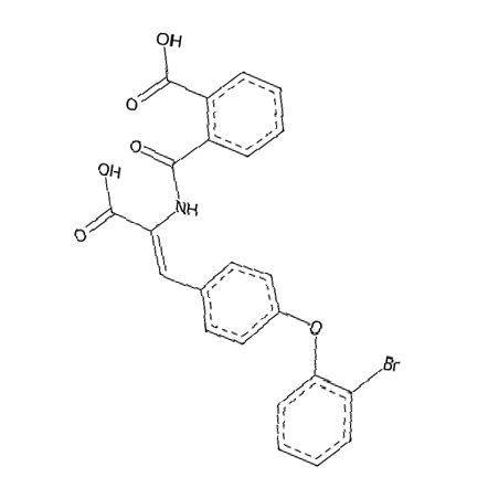 O=C(O)C(=Cc1ccc(Oc2ccccc2Br)cc1)NC(=O)c1ccccc1C(=O)O